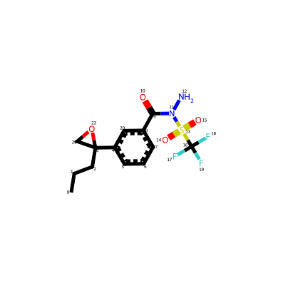 CCCC1(c2cccc(C(=O)N(N)S(=O)(=O)C(F)(F)F)c2)CO1